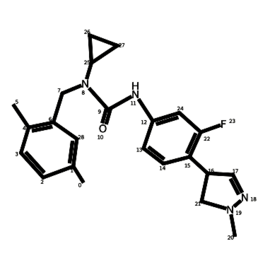 Cc1ccc(C)c(CN(C(=O)Nc2ccc(C3C=NN(C)C3)c(F)c2)C2CC2)c1